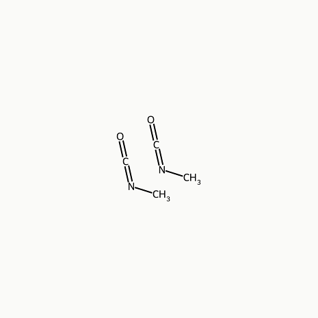 CN=C=O.CN=C=O